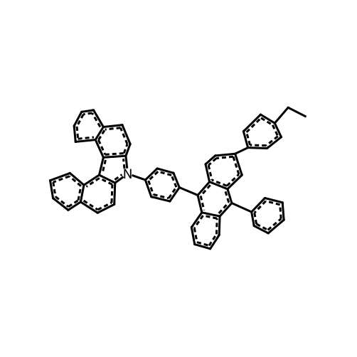 CCc1ccc(-c2ccc3c(-c4ccc(-n5c6ccc7ccccc7c6c6c7ccccc7ccc65)cc4)c4ccccc4c(-c4ccccc4)c3c2)cc1